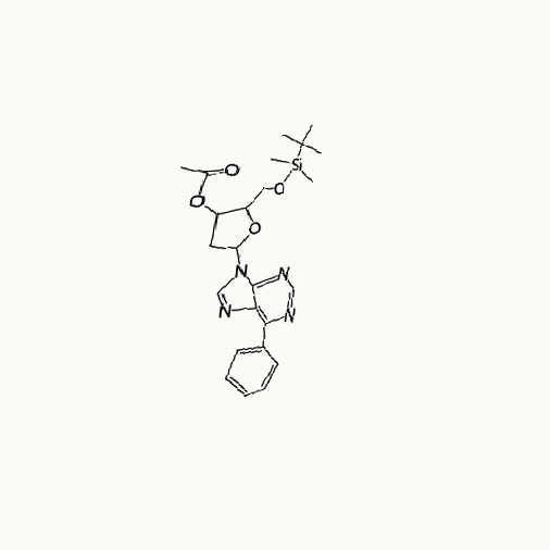 CC(=O)OC1CC(n2cnc3c(-c4ccccc4)ncnc32)OC1CO[Si](C)(C)C(C)(C)C